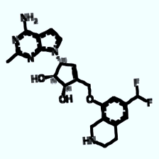 Cc1nc(N)c2ccn([C@@H]3C=C(COc4cc(C(F)F)cc5c4CNCC5)[C@@H](O)[C@H]3O)c2n1